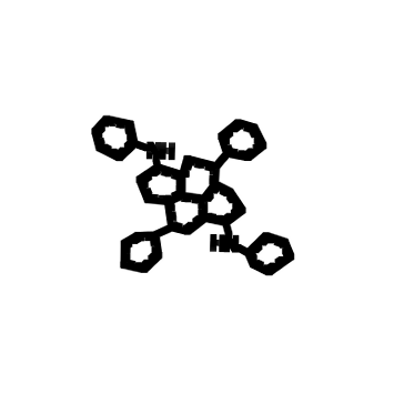 c1ccc(Nc2ccc3c(-c4ccccc4)cc4c(Nc5ccccc5)ccc5c(-c6ccccc6)cc2c3c45)cc1